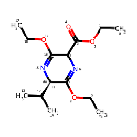 CCOC(=O)C1N=C(OCC)[C@@H](C(C)C)N=C1OCC